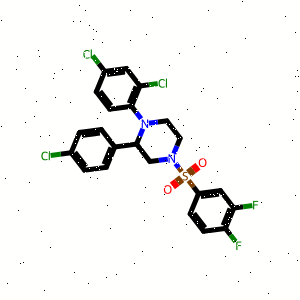 O=S(=O)(c1ccc(F)c(F)c1)N1CCN(c2ccc(Cl)cc2Cl)C(c2ccc(Cl)cc2)C1